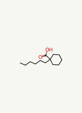 CCCCCCC1(C(=O)O)CCCCC1